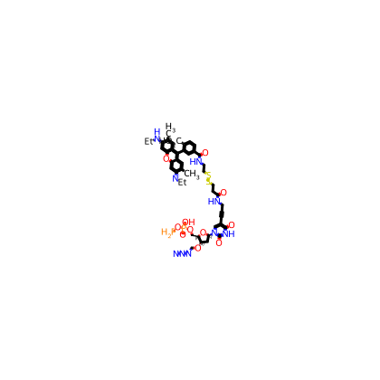 CC/N=c1/cc2oc3cc(NCC)c(C)cc3c(-c3cc(C(=O)NCCSSCCC(=O)NCC#Cc4cn([C@H]5C[C@H](OCN=[N+]=[N-])[C@@H](COP(=O)(O)OP)O5)c(=O)[nH]c4=O)ccc3C(=O)O)c-2cc1C